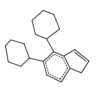 C1=Cc2c(ccc(C3CCCCC3)c2C2CCCCC2)C1